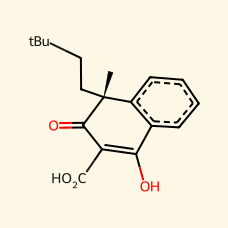 CC(C)(C)CC[C@@]1(C)C(=O)C(C(=O)O)=C(O)c2ccccc21